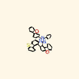 c1ccc(-c2nc(-c3ccc4c(c3)oc3ccccc34)nc(-c3c(-c4cccc5sc6ccccc6c45)ccc4oc5ccccc5c34)n2)cc1